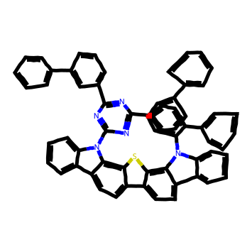 c1ccc(-c2cccc(-c3nc(-c4cccc(-c5ccccc5)c4)nc(-n4c5ccccc5c5ccc6c7ccc8c9ccccc9n(-c9ccccc9-c9ccccc9)c8c7sc6c54)n3)c2)cc1